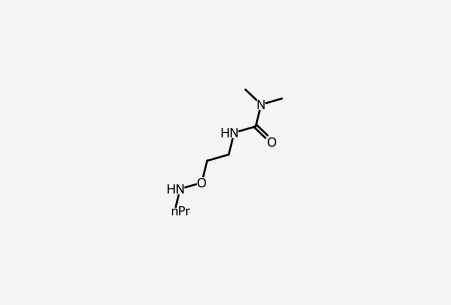 CCCNOCCNC(=O)N(C)C